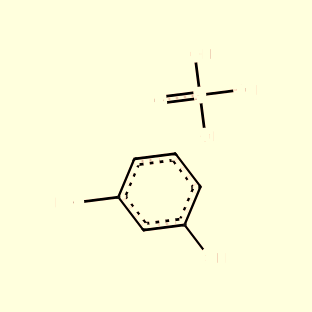 Cc1cccc(O)c1.O=P(O)(O)O